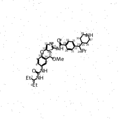 CCC(CC)NC(=O)Nc1ccc(Oc2cnc(NC(=O)c3ccc(C(C(C)C)C4CCNCC4)cc3)s2)c(COC)c1